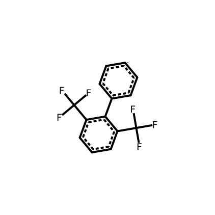 FC(F)(F)c1cccc(C(F)(F)F)c1-c1cc[c]cc1